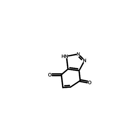 O=C1C=CC(=O)c2[nH]nnc21